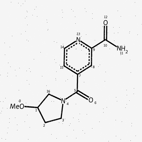 COC1CCN(C(=O)c2[c]c(C(N)=O)ncc2)C1